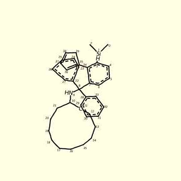 C[SiH](C)c1cccc(C(NC2CCCCCCCCCCC2)(c2ccccc2)c2ccccc2)c1C1=CC=CC1